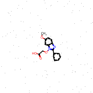 COc1ccc2nc(-c3ccccc3)n(OCC(=O)O)c2c1